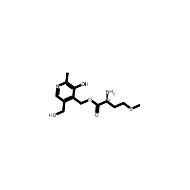 CSCC[C@H](N)C(=O)OCc1c(CO)cnc(C)c1O